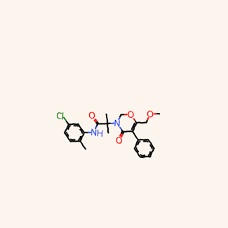 COCC1=C(c2ccccc2)C(=O)N(C(C)(C)C(=O)Nc2cc(Cl)ccc2C)CO1